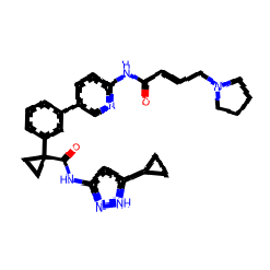 O=C(C=CCN1CCCC1)Nc1ccc(-c2cccc(C3(C(=O)Nc4cc(C5CC5)[nH]n4)CC3)c2)cn1